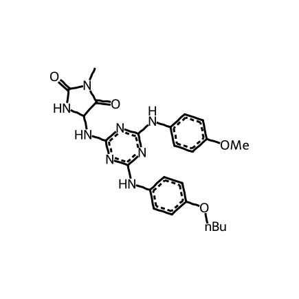 CCCCOc1ccc(Nc2nc(Nc3ccc(OC)cc3)nc(NC3NC(=O)N(C)C3=O)n2)cc1